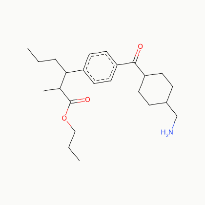 CCCOC(=O)C(C)C(CCC)c1ccc(C(=O)C2CCC(CN)CC2)cc1